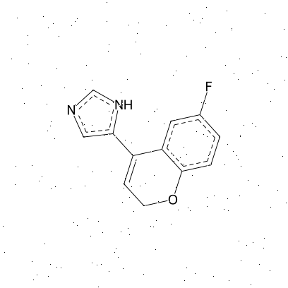 Fc1ccc2c(c1)C(c1cnc[nH]1)=CCO2